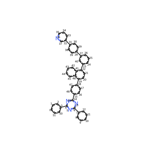 c1ccc(-c2nc(-c3ccccc3)nc(-c3ccc(-c4ccc(-c5cccc(-c6ccc(-c7cccnc7)cc6)c5)c5ccccc45)cc3)n2)cc1